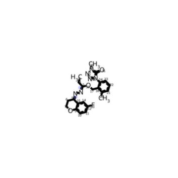 CC/C(=N\N=C1\CCOc2ccc(F)cc21)OCc1c(C)cccc1-n1nnn(C)c1=O